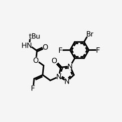 CC(C)(C)NC(=O)OC/C(=C/F)Cn1ncn(-c2cc(F)c(Br)cc2F)c1=O